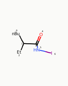 CCCCC(CC)C(=O)NI